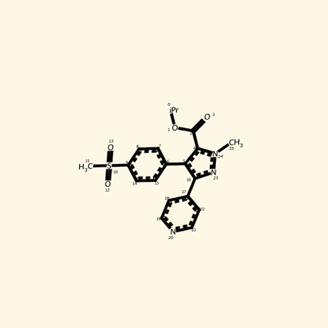 CC(C)OC(=O)c1c(-c2ccc(S(C)(=O)=O)cc2)c(-c2ccncc2)nn1C